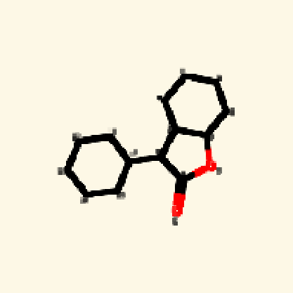 O=C1OC2CCCCC2C1C1CCCCC1